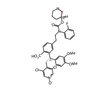 COc1ccc([C@H](Cc2c(Cl)c[n+]([O-])cc2Cl)c2cc(CCN(C(=O)O[C@H]3CN4CCC3CC4)c3ccccc3F)ccc2C(=O)O)cc1OC